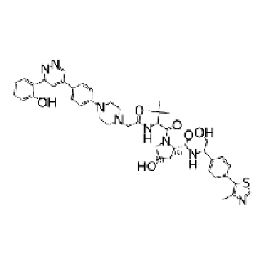 Cc1ncsc1-c1ccc(C(CO)NC(=O)[C@@H]2C[C@@H](O)CN2C(=O)C(NC(=O)CN2CCN(c3ccc(-c4cnnc(-c5ccccc5O)c4)cc3)CC2)C(C)(C)C)cc1